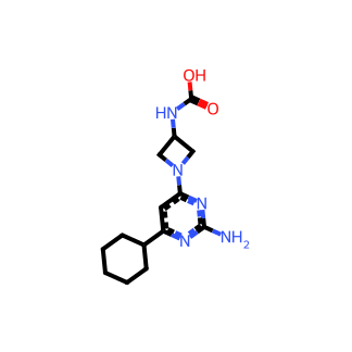 Nc1nc(C2CCCCC2)cc(N2CC(NC(=O)O)C2)n1